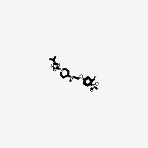 CC(C)c1noc(N2CCC(N(C)CCOc3ccc(S(C)(=O)=O)c(F)c3)CC2)n1